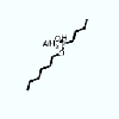 CCCCCCO[PH](=O)CCCC.[AlH3]